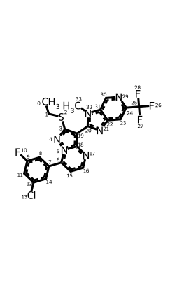 CCSc1nn2c(-c3cc(F)cc(Cl)c3)ccnc2c1-c1nc2cc(C(F)(F)F)ncc2n1C